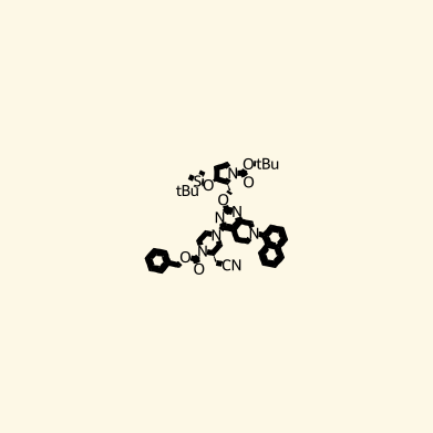 CC(C)(C)OC(=O)N1CC[C@H](O[Si](C)(C)C(C)(C)C)[C@H]1COc1nc2c(c(N3CCN(C(=O)OCc4ccccc4)[C@@H](CC#N)C3)n1)CCN(c1cccc3ccccc13)C2